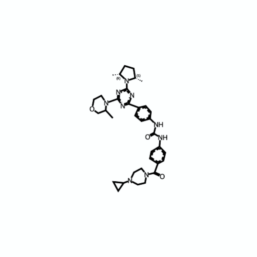 CC1COCCN1c1nc(-c2ccc(NC(=O)Nc3ccc(C(=O)N4CCN(C5CC5)CC4)cc3)cc2)nc(N2[C@H](C)CC[C@@H]2C)n1